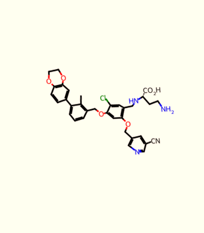 Cc1c(COc2cc(OCc3cncc(C#N)c3)c(CN[C@@H](CCN)C(=O)O)cc2Cl)cccc1-c1ccc2c(c1)OCCO2